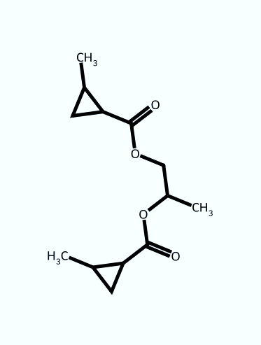 CC(COC(=O)C1CC1C)OC(=O)C1CC1C